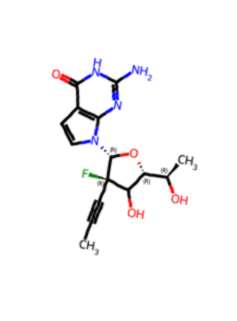 CC#C[C@@]1(F)C(O)[C@@H]([C@@H](C)O)O[C@H]1n1ccc2c(=O)[nH]c(N)nc21